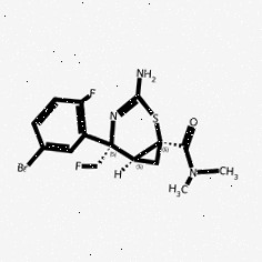 CN(C)C(=O)[C@]12C[C@H]1[C@@](CF)(c1cc(Br)ccc1F)N=C(N)S2